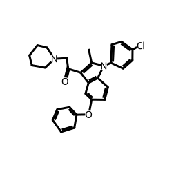 Cc1c(C(=O)CN2CCCCC2)c2cc(Oc3ccccc3)ccc2n1-c1ccc(Cl)cc1